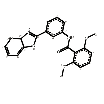 COc1cccc(OC)c1C(=O)Nc1cccc(C2=NC3NC=CC=C3O2)c1